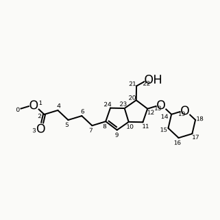 COC(=O)CCCCC1=CC2CC(OC3CCCCO3)C(CO)C2C1